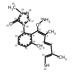 CC(C=CC(C)=C(ON)c1c(C)cccc1-n1nnn(C)c1=O)=CS